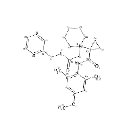 COc1cc(C)c(NC(=O)C2([N+]3(CC(=O)OCc4ccccc4)CCCCC3)CC2)c(C)c1